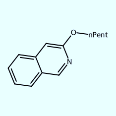 [CH2]CCCCOc1cc2ccccc2cn1